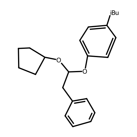 CCC(C)c1ccc(OC(Cc2ccccc2)OC2CCCC2)cc1